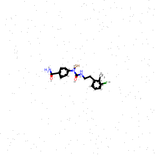 NC(=O)c1ccc(N(S)C(=O)NCCc2cccc(F)c2C(F)(F)F)cc1